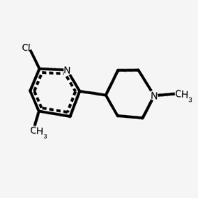 Cc1cc(Cl)nc(C2CCN(C)CC2)c1